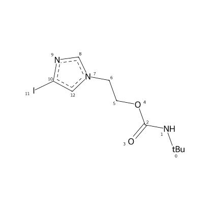 CC(C)(C)NC(=O)OCCn1cnc(I)c1